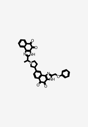 CC(c1nc2c([nH]1)C(=O)C(=O)c1ccccc1-2)N1CCC(c2ccc3c(c2)-c2nc(COc4ccccc4)[nH]c2C(=O)C3=O)C1